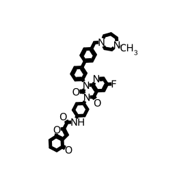 CN1CCCN(Cc2ccc(-c3cccc(-n4c(=O)n(C5CCC(NC(=O)c6cc7c(o6)CCCC7=O)CC5)c(=O)c5cc(F)cnc54)c3)cc2)CC1